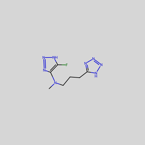 CN(CCCc1nnn[nH]1)c1nn[nH]c1F